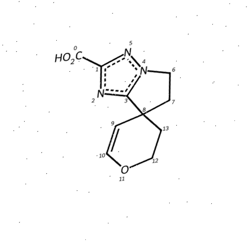 O=C(O)c1nc2n(n1)CCC21C=COCC1